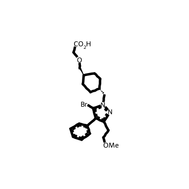 COCCc1nn(C[C@H]2CC[C@H](COCC(=O)O)CC2)c(Br)c1-c1ccccc1